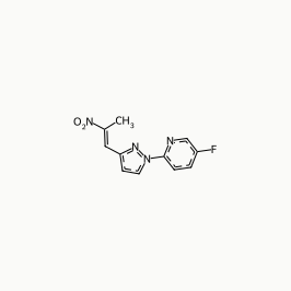 CC(=Cc1ccn(-c2ccc(F)cn2)n1)[N+](=O)[O-]